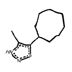 Cc1[nH]npc1C1CCCCCCC1